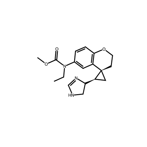 CCN(C(=O)OC)c1ccc2c(c1)[C@]1(CCO2)C[C@H]1C1CNC=N1